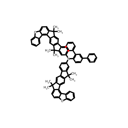 CC1(C)c2cc(N(c3ccc4c(c3)C(C)(C)c3cc5c(cc3-4)C(C)(C)c3ccc4oc6ccccc6c4c3-5)c3ccc(-c4ccccc4)cc3-c3ccccc3)ccc2-c2cc3c(cc21)-c1c(ccc2oc4ccccc4c12)C3(C)C